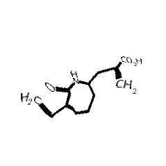 C=CC1CCCC(CC(=C)C(=O)O)NC1=O